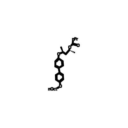 CCCCCCCCOc1ccc(-c2ccc(O[C@@H](C)C[C@@H](C)OC(=O)CCC)cc2)cc1